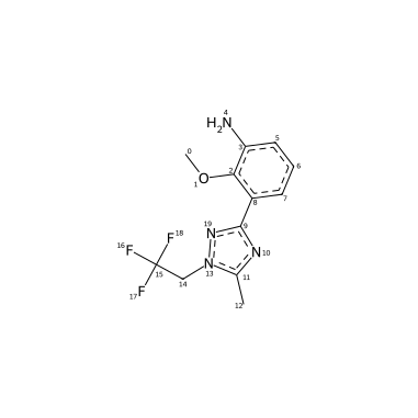 COc1c(N)cccc1-c1nc(C)n(CC(F)(F)F)n1